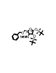 CC(C)(C)[Si](C)(C)O[C@H]1O[C@H](COCc2ccccc2)C(N=[N+]=[N-])[C@@H]1O[Si](C)(C)C(C)(C)C